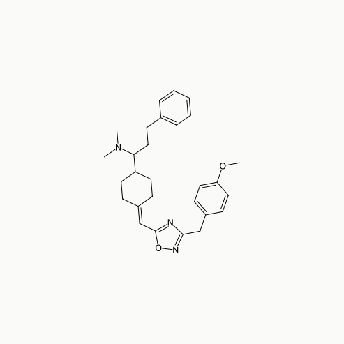 COc1ccc(Cc2noc(C=C3CCC(C(CCc4ccccc4)N(C)C)CC3)n2)cc1